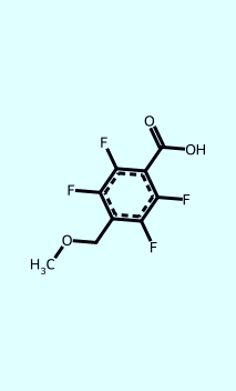 COCc1c(F)c(F)c(C(=O)O)c(F)c1F